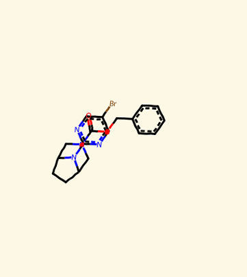 O=C(OCc1ccccc1)N1CC2CCC(C1)N2c1ncc(Br)cn1